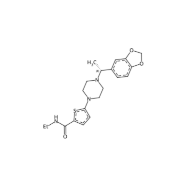 CCNC(=O)c1ccc(N2CCN([C@H](C)c3ccc4c(c3)OCO4)CC2)s1